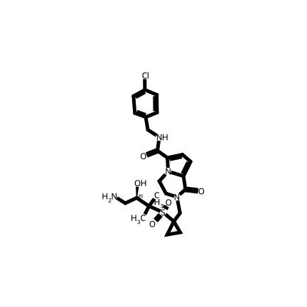 CC(C)([C@H](O)CN)S(=O)(=O)C1(CN2CCn3c(C(=O)NCc4ccc(Cl)cc4)ccc3C2=O)CC1